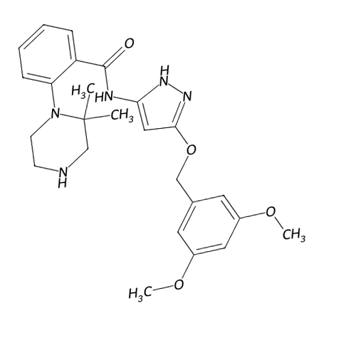 COc1cc(COc2cc(NC(=O)c3ccccc3N3CCNCC3(C)C)[nH]n2)cc(OC)c1